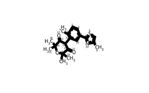 Cc1csc(-c2ccc(C)c(C3C(=O)C(C)(C)OC(C)(C)C3=O)c2)n1